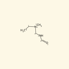 CCN(C)CNC=O